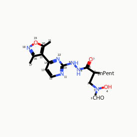 CCCCCC(CN(O)C=O)C(=O)NNc1nccc(-c2c(C)noc2C)n1